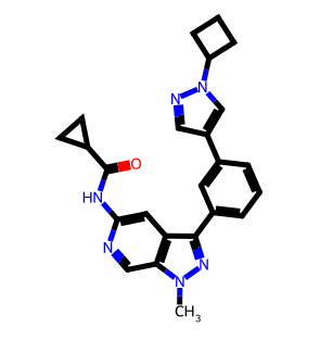 Cn1nc(-c2cccc(-c3cnn(C4CCC4)c3)c2)c2cc(NC(=O)C3CC3)ncc21